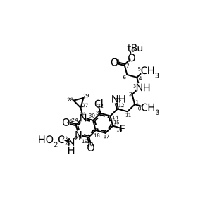 CC(CNC(C)CC(=O)OC(C)(C)C)CC(=N)c1c(F)cc2c(=O)n(NC(=O)O)c(=O)n(C3CC3)c2c1Cl